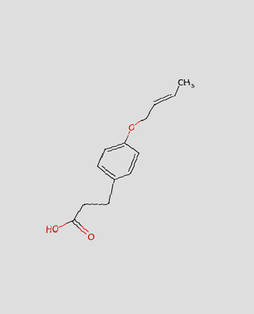 CC=CCOc1ccc(CCC(=O)O)cc1